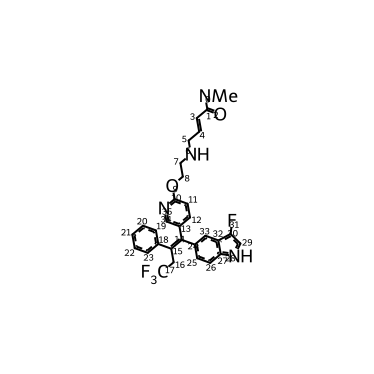 CNC(=O)/C=C/CNCCOc1ccc(/C(=C(/CC(F)(F)F)c2ccccc2)c2ccc3[nH]cc(F)c3c2)cn1